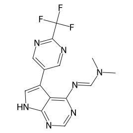 CN(C)/C=N/c1ncnc2[nH]cc(-c3cnc(C(F)(F)F)nc3)c12